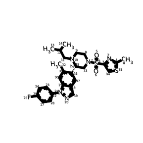 Cc1nc(S(=O)(=O)N2CCN(CC(C)C)[C@@H](c3cc4cnn(-c5ccc(F)cc5)c4cc3C)C2)cs1